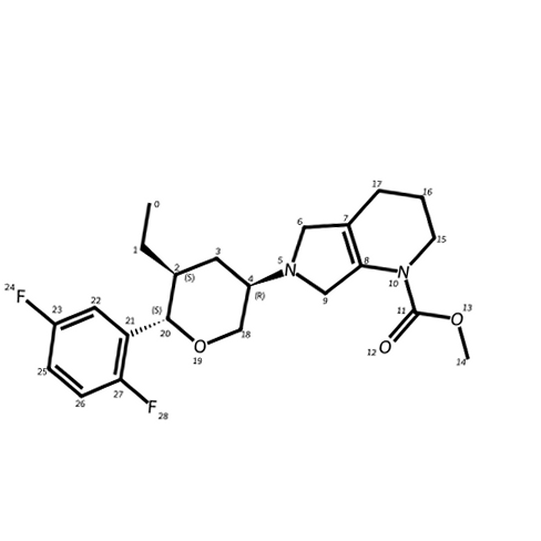 CC[C@H]1C[C@@H](N2CC3=C(C2)N(C(=O)OC)CCC3)CO[C@@H]1c1cc(F)ccc1F